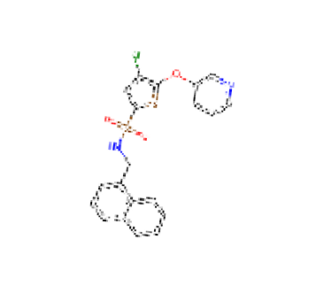 O=S(=O)(NCc1cccc2ccccc12)c1cc(Cl)c(Oc2cccnc2)s1